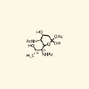 CC(=O)NC1C(O)CC(O)(OC(C)=O)OC1[C@@H](NC(C)=O)[C@H](C)O